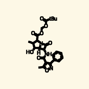 Cc1onc(-c2ccccc2)c1C(=O)NC1C(=O)N2C(C(=O)OCOC(=O)C(C)(C)C)C(C)C(O)[C@H]12